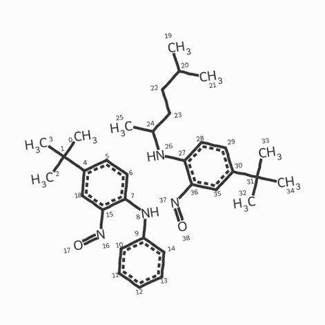 CC(C)(C)c1ccc(Nc2ccccc2)c(N=O)c1.CC(C)CCC(C)Nc1ccc(C(C)(C)C)cc1N=O